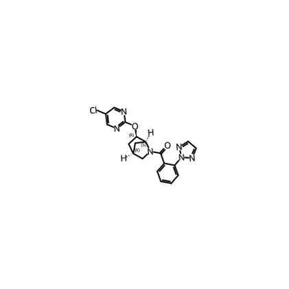 O=C(c1ccccc1-n1nccn1)N1C[C@H]2C[C@@H](Oc3ncc(Cl)cn3)[C@@H]1C2